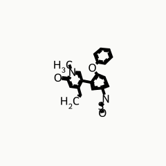 C=Cc1cc(=O)n(C)cc1-c1cc(N=S=O)ccc1Oc1ccccc1